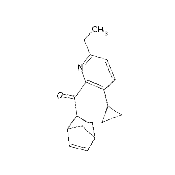 CCc1ccc(C2CC2)c(C(=O)C2CC3C=CC2C3)n1